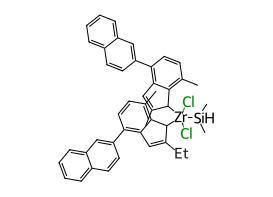 CCC1=Cc2c(-c3ccc4ccccc4c3)ccc(C)c2[CH]1[Zr]([Cl])([Cl])([CH]1C(C)=Cc2c(-c3ccc4ccccc4c3)ccc(C)c21)[SiH](C)C